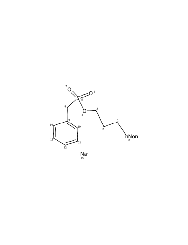 CCCCCCCCCCCCOS(=O)(=O)Cc1ccccc1.[Na]